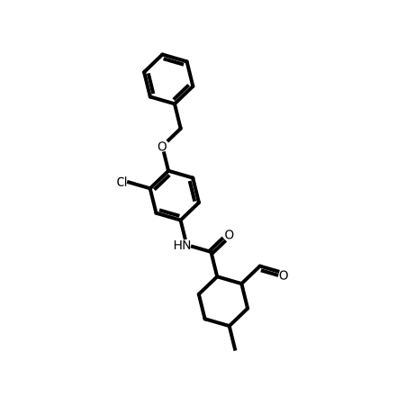 CC1CCC(C(=O)Nc2ccc(OCc3ccccc3)c(Cl)c2)C(C=O)C1